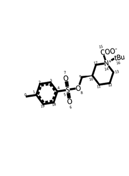 Cc1ccc(S(=O)(=O)OC[C@@H]2CCC[N+](C(=O)[O-])(C(C)(C)C)C2)cc1